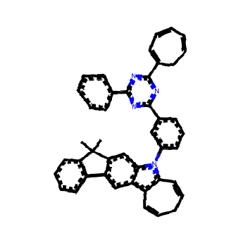 CC1(C)c2ccccc2-c2cc3c4c(n(-c5cccc(-c6nc(C7=CC=CC=CC7)nc(-c7ccccc7)n6)c5)c3cc21)C=CCC=C4